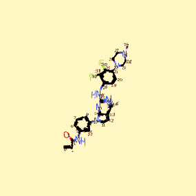 C=CC(=O)Nc1cccc(-n2ccc3cnc(Nc4ccc(N5CCN(C)CC5)c(F)c4F)nc32)c1